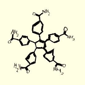 NC(=O)c1ccc(C2=C(c3ccc(C(N)=O)cc3)C(c3ccc(C(N)=O)cc3)C(c3ccc(C(N)=O)cc3)=C2c2ccc(C(N)=O)cc2)cc1